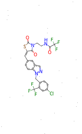 O=C1SC(=Cc2ccc3c(cnn3Cc3ccc(Cl)cc3C(F)(F)F)c2)C(=O)N1CCNC(=O)C(F)(F)F